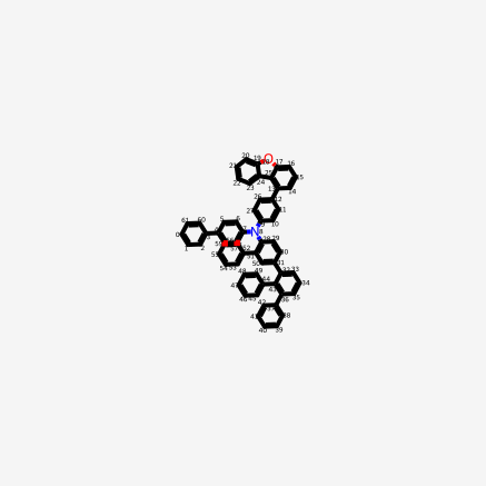 c1ccc(-c2ccc(N(c3ccc(-c4cccc5oc6ccccc6c45)cc3)c3ccc(-c4cccc(-c5ccccc5)c4-c4ccccc4)cc3-c3ccccc3)cc2)cc1